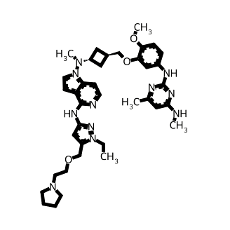 CCn1nc(Nc2nccc3c2ccn3N(C)[C@H]2C[C@H](COc3cc(Nc4nc(C)cc(NC)n4)ccc3OC)C2)cc1COCCN1CCCC1